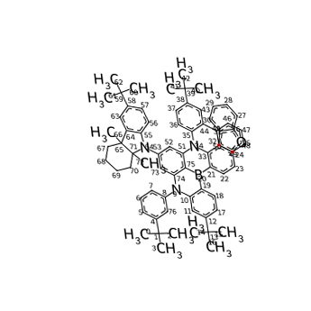 CC(C)(C)c1cccc(N2c3cc(C(C)(C)C)ccc3B3c4ccc5oc6ccccc6c5c4N(c4ccc(C(C)(C)C)cc4-c4ccccc4)c4cc(N5c6ccc(C(C)(C)C)cc6C6(C)CCCCC56C)cc2c43)c1